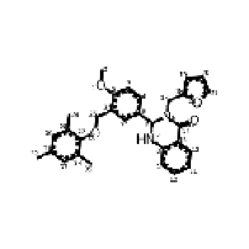 COc1ccc(C2Nc3ccccc3C(=O)N2Cc2ccco2)cc1COc1c(C)cc(C)cc1C